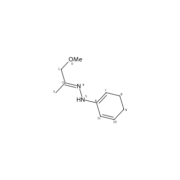 COC/C(C)=N/NC1=CCCC=C1